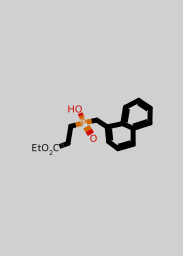 CCOC(=O)CCP(=O)(O)Cc1cccc2ccccc12